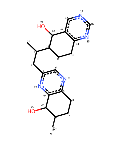 CC(C)C1CCc2ncc(CC(C)C3CCc4ncncc4C3O)nc2C1O